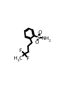 CC(F)(F)CCCc1ccccc1S(N)(=O)=O